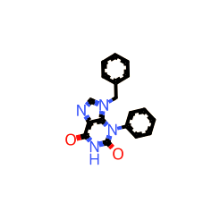 O=c1[nH]c(=O)n(-c2ccccc2)c2c1ncn2Cc1ccccc1